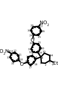 CCC1CCC(c2ccc(Oc3ccc([N+](=O)[O-])cc3)cc2)(c2ccc(Oc3ccc([N+](=O)[O-])cc3)cc2)CC1